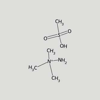 CS(=O)(=O)O.C[N+](C)(C)N